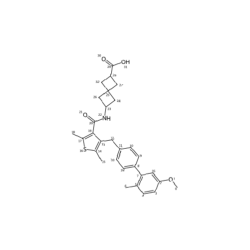 COc1ccc(C)c(-c2ccc(Cc3c(C)sc(C)c3C(=O)NC3CC4(C3)CC(C(=O)O)C4)cc2)c1